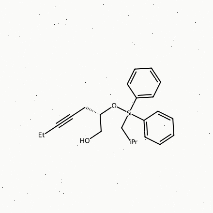 CCC#CC[C@@H](CO)O[Si](CC(C)C)(c1ccccc1)c1ccccc1